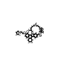 CN1CCCC2COc3c(OCCN4CCCC4)cccc3-c3c(C4CCCCC4)c4ccc(cc4n3C2)C(=O)NS(=O)(=O)N(C)CC1